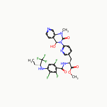 CC[C@@H](Nc1cc(F)c(C(=O)N[C@@H](Cc2ccc(N3C(=O)N(C)c4cnccc4C3O)nc2)C(=O)OC)c(F)c1F)C(F)(F)F